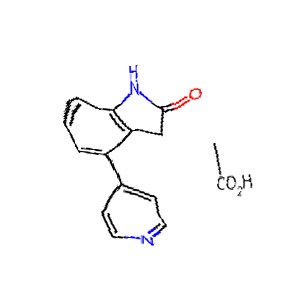 CC(=O)O.O=C1Cc2c(cccc2-c2ccncc2)N1